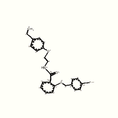 CCc1ccc(OCCNC(=O)c2ccccc2OCc2ccc(F)cc2)cc1